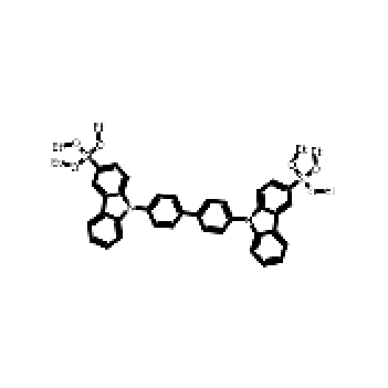 CCO[Si](OCC)(OCC)c1ccc2c(c1)c1ccccc1n2-c1ccc(-c2ccc(-n3c4ccccc4c4cc([Si](OCC)(OCC)OCC)ccc43)cc2)cc1